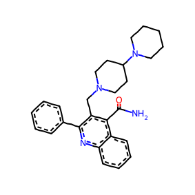 NC(=O)c1c(CN2CCC(N3CCCCC3)CC2)c(-c2ccccc2)nc2ccccc12